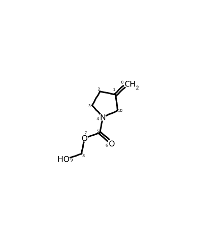 C=C1CCN(C(=O)OCO)C1